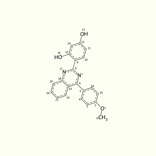 COc1ccc(-c2nc(-c3ccc(O)cc3O)nc3ccccc23)cc1